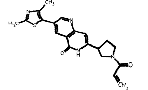 C=CC(=O)N1CCC(c2cc3ncc(-c4sc(C)nc4C)cc3c(=O)[nH]2)C1